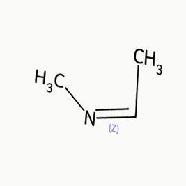 C/C=N\C